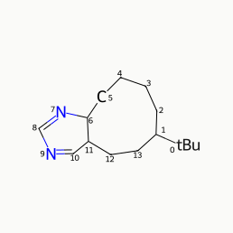 CC(C)(C)C1CCCCC2N=CN=CC2CC1